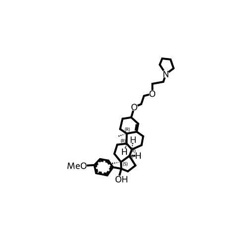 COc1ccc(C2(O)CC[C@H]3[C@@H]4CCC5=CC(OCCOCCN6CCCC6)CC[C@]5(C)[C@@H]4CC[C@@]32C)cc1